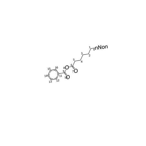 CCCCCCCCCCCCCCC(=O)OC(=O)c1ccccc1